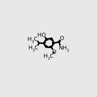 COc1cc(C(C)C)c(O)cc1C(N)=O